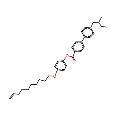 C=CCCCCCCCCOc1ccc(OC(=O)c2ccc(-c3ccc(CC(C)CC)cc3)cc2)cc1